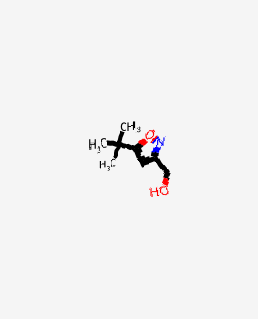 CC(C)(C)c1cc(CO)no1